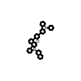 c1ccc(-n2c3ccccc3c3cc(-c4ccc5c(c4)Oc4cc6c(c7cccc-5c47)c4ccccc4n6-c4ccc5ccccc5c4)ccc32)cc1